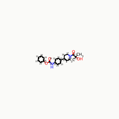 CC(C)(O)C(=O)N1CC=C(c2ccc(NC(=O)Oc3ccccc3)cc2)CC1